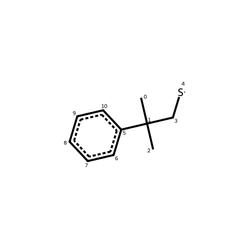 CC(C)(C[S])c1ccccc1